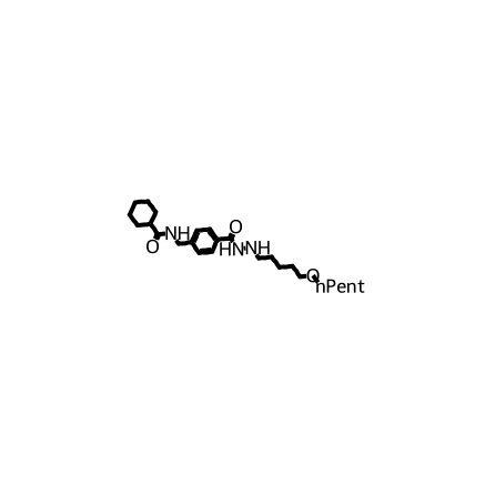 CCCCCOCCCCCNNC(=O)c1ccc(CNC(=O)C2CCCCC2)cc1